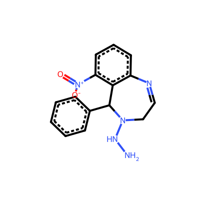 NNN1CC=Nc2cccc([N+](=O)[O-])c2C1c1ccccc1